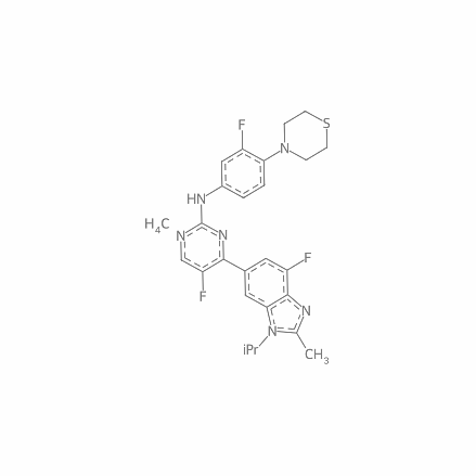 C.Cc1nc2c(F)cc(-c3nc(Nc4ccc(N5CCSCC5)c(F)c4)ncc3F)cc2n1C(C)C